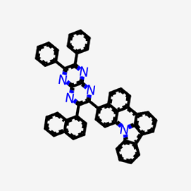 c1ccc(-c2nc3nc(-c4cccc5ccccc45)c(-c4ccc5c6c4cccc6c4cccc6c7ccccc7n5c46)nc3nc2-c2ccccc2)cc1